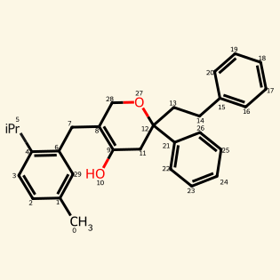 Cc1ccc(C(C)C)c(CC2=C(O)CC(CCc3ccccc3)(c3ccccc3)OC2)c1